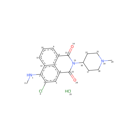 CNc1c(Cl)cc2c3c(cccc13)C(=O)N(C1CCN(C)CC1)C2=O.Cl